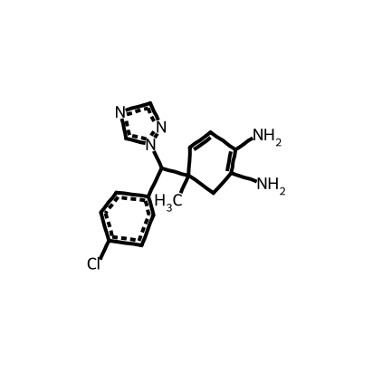 CC1(C(c2ccc(Cl)cc2)n2cncn2)C=CC(N)=C(N)C1